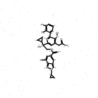 CCOc1c(CC(N)=O)cc([C@@](O)(CNC(=O)c2cc(Cl)c3nn(C4CC4)cc3c2)C2CC2)nc1-c1cccc(F)c1Cl